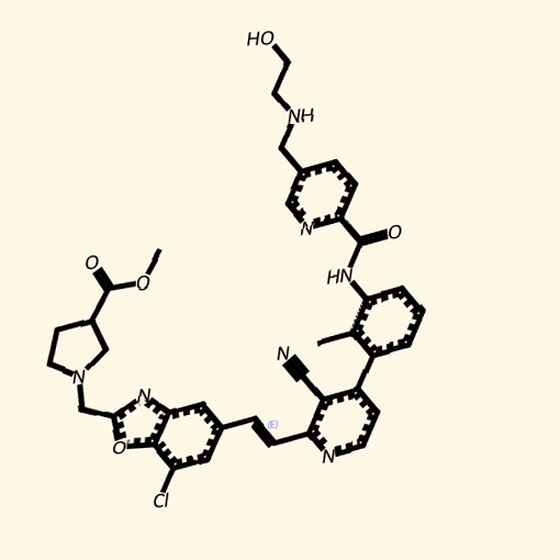 COC(=O)C1CCN(Cc2nc3cc(/C=C/c4nccc(-c5cccc(NC(=O)c6ccc(CNCCO)cn6)c5C)c4C#N)cc(Cl)c3o2)C1